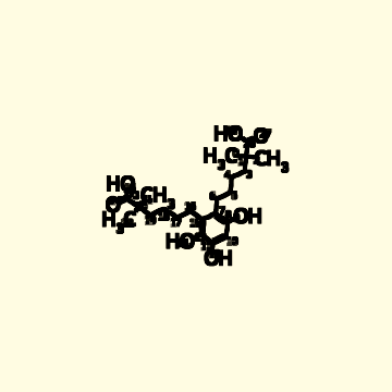 CC(C)(CCCCc1c(O)cc(O)c(O)c1CCCCC(C)(C)C(=O)O)C(=O)O